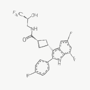 O=C(NC[C@H](O)C(F)(F)F)[C@H]1C[C@H](c2c(-c3ccc(F)cc3)[nH]c3c(F)cc(F)cc32)C1